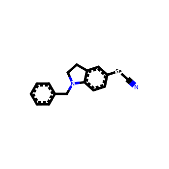 N#C[Se]c1ccc2c(c1)CCN2Cc1ccccc1